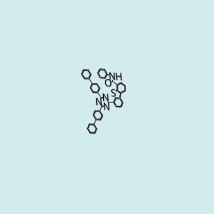 c1ccc(-c2ccc(-c3nc(-c4ccc(-c5ccccc5)cc4)nc(-c4cccc5c4sc4c(C6Nc7ccccc7O6)cccc45)n3)cc2)cc1